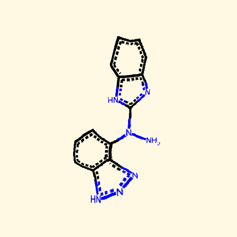 NN(c1nc2ccccc2[nH]1)c1cccc2[nH]nnc12